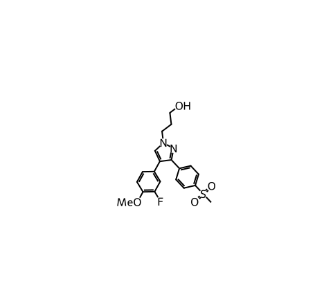 COc1ccc(-c2cn(CCCO)nc2-c2ccc(S(C)(=O)=O)cc2)cc1F